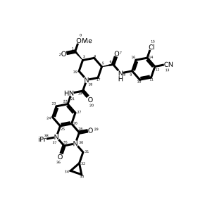 COC(=O)[C@H]1C[C@@H](C(=O)Nc2ccc(C#N)c(Cl)c2)CN(C(=O)Nc2ccc3c(c2)c(=O)n(CC2CC2)c(=O)n3C(C)C)C1